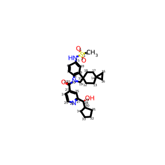 CS(=O)(=O)Nc1ccc2c(c1)C1(CCC3(CC3)CC1)CN2C(=O)c1ccnc([C@@H](O)C2CCCC2)c1